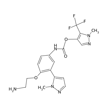 Cn1nccc1-c1cc(NC(=O)Oc2cnn(C)c2C(F)(F)F)ccc1OCCN